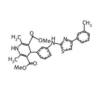 COC(=O)C1=C(C)NC(C)=C(C(=O)OC)C1c1cccc(Nc2nc(-c3cccc(C)c3)cs2)c1